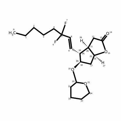 CCCCCC(F)(F)C=C[C@@H]1[C@H]2CC(=O)O[C@H]2C[C@H]1OC1CCCCO1